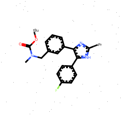 CC(C)c1nc(-c2cccc(CN(C)C(=O)OC(C)(C)C)c2)c(-c2ccc(F)cc2)[nH]1